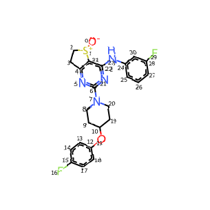 [O-][S+]1CCc2nc(N3CCC(Oc4ccc(F)cc4)CC3)nc(Nc3cccc(F)c3)c21